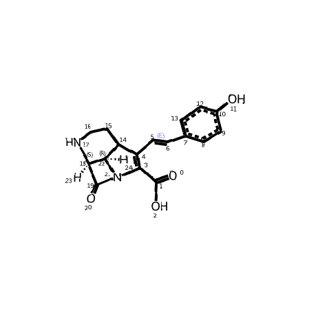 O=C(O)C1=C(/C=C/c2ccc(O)cc2)C2CCN[C@@H]3C(=O)N1[C@H]23